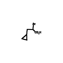 CC(=O)C(CC1CC1)C(=O)O